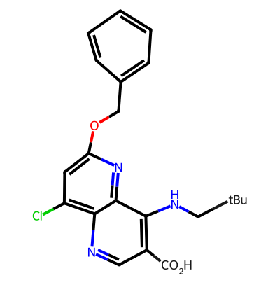 CC(C)(C)CNc1c(C(=O)O)cnc2c(Cl)cc(OCc3ccccc3)nc12